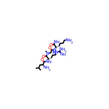 CC(C)C[C@H](N)C(=O)N[C@@H](CCCNC(=N)N)C(=O)N(C)CC(=O)N[C@@H](CCCCN)C(N)=O